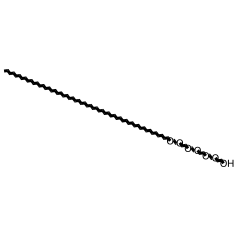 CCCCCCCCCCCCCCCCCCCCCCCCCCCCCCCCCCCCCCCCCCCCCCCCCCCCCCCCOCCOCCOCCOCCOCCOCCO